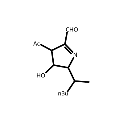 CCCCC(C)C1N=C(C=O)C(C(C)=O)C1O